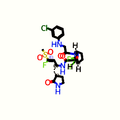 CS(=O)(=O)/C(F)=C/[C@@H](C[C@@H]1CCNC1=O)NC(=O)[C@@H]1[C@@H]2CC[C@@H](CC2(F)F)N1C(=O)CNc1cccc(Cl)c1